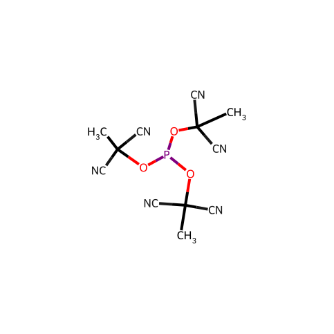 CC(C#N)(C#N)OP(OC(C)(C#N)C#N)OC(C)(C#N)C#N